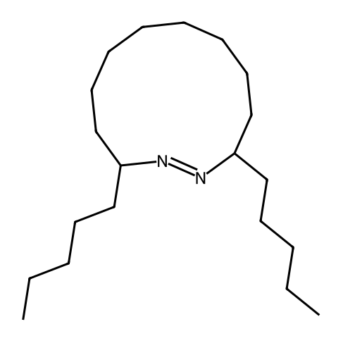 CCCCCC1CCCCCCCCC(CCCCC)/N=N/1